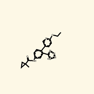 CCOc1ccc(-c2ccc(NC(=O)C3(C)CC3)cc2-c2nnn[nH]2)cn1